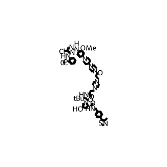 COc1cc(N2CCC(N3CCN(C(=O)CCN4CCN(CCC(=O)NC(C(=O)N5C[C@H](O)C[C@H]5C(=O)NCc5ccc(-c6scnc6C)cc5)C(C)(C)C)CC4)CC3)CC2)ccc1Nc1ncc(Cl)c(Nc2ccccc2P(C)(C)=O)n1